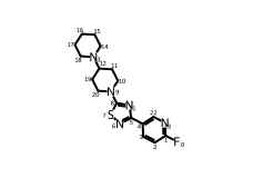 Fc1ccc(-c2nsc(N3CCC(N4CCCCC4)CC3)n2)cn1